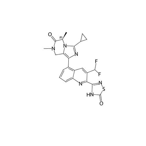 C[C@@H]1C(=O)N(C)Cc2c(-c3cccc4nc(-c5nsc(=O)[nH]5)c(C(F)F)cc34)nc(C3CC3)n21